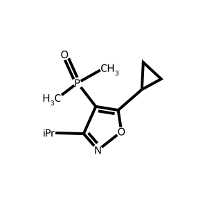 CC(C)c1noc(C2CC2)c1P(C)(C)=O